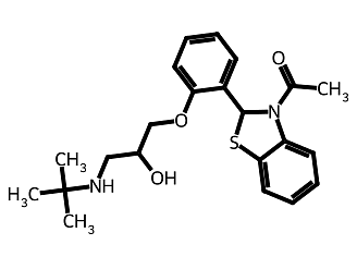 CC(=O)N1c2ccccc2SC1c1ccccc1OCC(O)CNC(C)(C)C